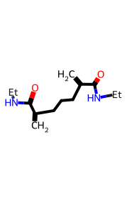 C=C(CCCC(=C)C(=O)NCC)C(=O)NCC